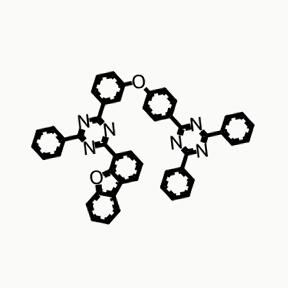 c1ccc(-c2nc(-c3ccccc3)nc(-c3ccc(Oc4cccc(-c5nc(-c6ccccc6)nc(-c6cccc7c6oc6ccccc67)n5)c4)cc3)n2)cc1